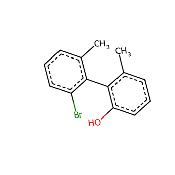 Cc1cccc(O)c1-c1c(C)cccc1Br